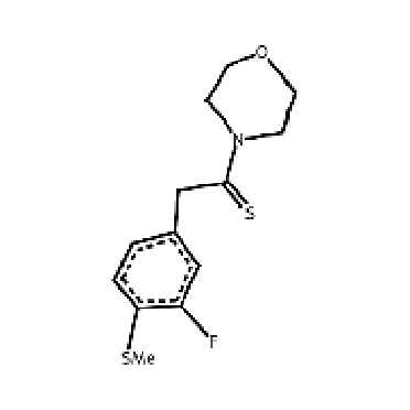 CSc1ccc(CC(=S)N2CCOCC2)cc1F